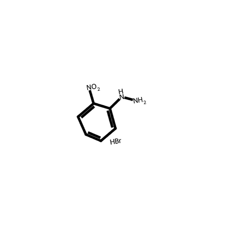 Br.NNc1ccccc1[N+](=O)[O-]